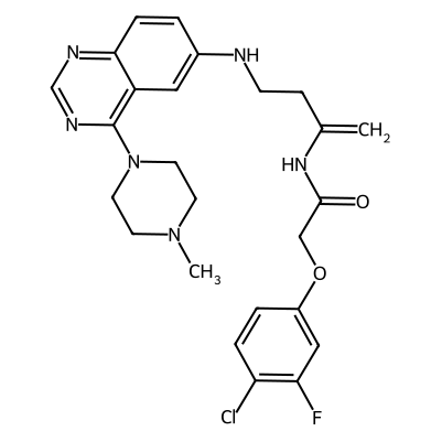 C=C(CCNc1ccc2ncnc(N3CCN(C)CC3)c2c1)NC(=O)COc1ccc(Cl)c(F)c1